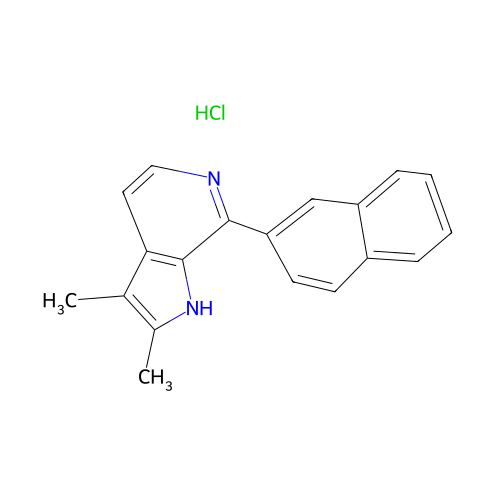 Cc1[nH]c2c(-c3ccc4ccccc4c3)nccc2c1C.Cl